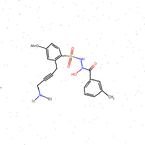 CCN(CC)CC#CCc1cc(OC)ccc1S(=O)(=O)NN(O)C(=O)c1cccc(C)c1